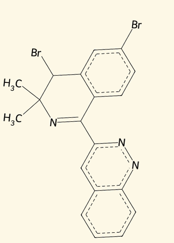 CC1(C)N=C(c2cc3ccccc3nn2)c2ccc(Br)cc2C1Br